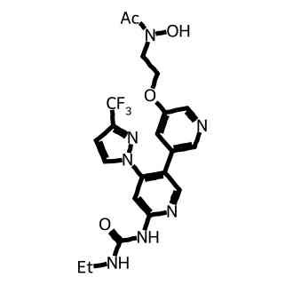 CCNC(=O)Nc1cc(-n2ccc(C(F)(F)F)n2)c(-c2cncc(OCCN(O)C(C)=O)c2)cn1